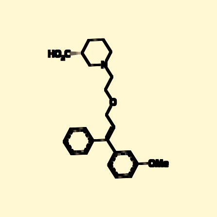 COc1cccc(C(=CCOCCN2CCC[C@@H](C(=O)O)C2)c2ccccc2)c1